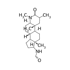 CC1C[C@]2(C)[C@H]3CC[C@]4(C)C(NC=O)CC[C@H]4[C@@H]3CC[C@H]2N(C)C1=O